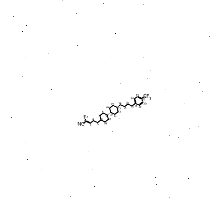 N#C/C(F)=C/CCC1CCC([C@H]2CC[C@H](CCCCc3ccc(C(F)(F)F)cc3)CC2)CC1